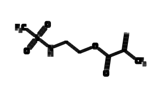 C=C(C(=O)OCCNS(=O)(=O)C(F)(F)F)C(F)(F)F